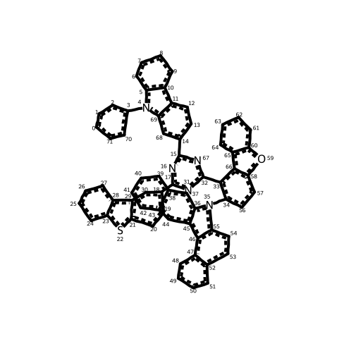 c1ccc(-n2c3ccccc3c3ccc(-c4nc(-c5ccc6sc7ccccc7c6c5)nc(-c5c(-n6c7cc8ccccc8cc7c7c8ccccc8ccc76)ccc6oc7ccccc7c56)n4)cc32)cc1